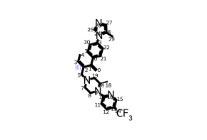 C=C(/C(=C\C)CN1CCN(c2ccc(C(F)(F)F)cn2)[C@H](C)C1)c1ccc(-n2cncc2C)cc1